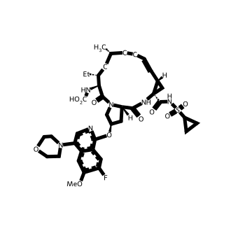 CC[C@@H]1C[C@H](C)CCC=C[C@@H]2C[C@@]2(C(=O)NS(=O)(=O)C2CC2)NC(=O)[C@@H]2C[C@@H](Oc3ncc(N4CCOCC4)c4cc(OC)c(F)cc34)CN2C(=O)[C@H]1NC(=O)O